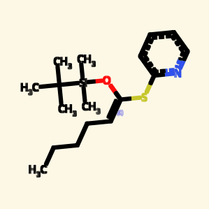 CCCC/C=C(\O[Si](C)(C)C(C)(C)C)Sc1ccccn1